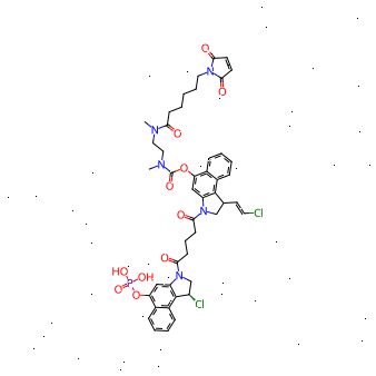 CN(CCN(C)C(=O)Oc1cc2c(c3ccccc13)C(/C=C/Cl)CN2C(=O)CCCC(=O)N1C[C@@H](Cl)c2c1cc(OP(=O)(O)O)c1ccccc21)C(=O)CCCCCN1C(=O)C=CC1=O